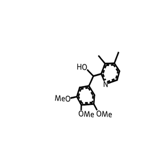 COc1cc(C(O)c2nccc(C)c2C)cc(OC)c1OC